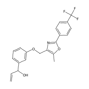 C=CC(O)c1cccc(OCc2nc(-c3ccc(C(F)(F)F)cc3)oc2C)c1